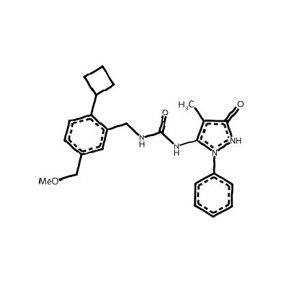 COCc1ccc(C2CCC2)c(CNC(=O)Nc2c(C)c(=O)[nH]n2-c2ccccc2)c1